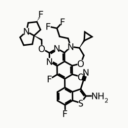 N#Cc1c(N)sc2c(F)ccc(-c3c(Cl)c4c5c(nc(OC[C@@]67CCCN6C[C@H](F)C7)nc5c3F)N(CCC(F)F)[C@@H](C3CC3)CO4)c12